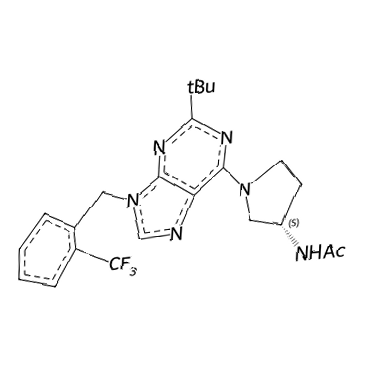 CC(=O)N[C@H]1CCN(c2nc(C(C)(C)C)nc3c2ncn3Cc2ccccc2C(F)(F)F)C1